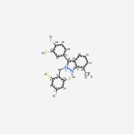 Fc1cc(F)c(Cn2nc3c(C(F)(F)F)cccc3c2-c2ccc(F)c(F)c2)c(F)c1